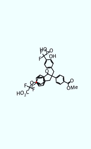 COC(=O)c1ccc(C(Cc2ccc(OC(F)(F)C(=O)O)cc2)(Cc2ccc(C(F)(F)P(=O)(O)O)cc2)C(=O)c2ccc(F)cc2)cc1